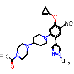 Cn1cc(-c2cc([N+](=O)[O-])c(OC3CC3)cc2N2CCC(N3CCN(C(=O)C(F)(F)F)CC3)CC2)cn1